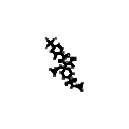 Cc1nc(C(F)(F)F)ccc1C(=O)NC(C(C)O)[C@]1(CC2CC2)CC[C@H](S(=O)(=O)CC2CC2)CC1